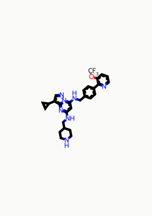 FC(F)(F)Oc1cccnc1-c1ccc(CNc2cc(NCC3CCNCC3)nc3c(C4CC4)cnn23)cc1